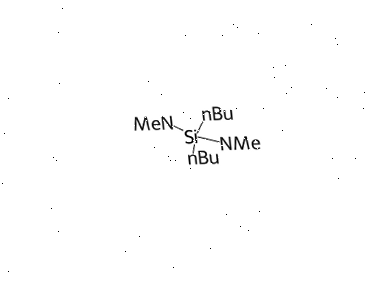 CCCC[Si](CCCC)(NC)NC